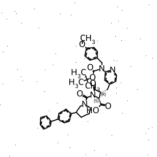 COc1ccc(CN(C(=O)OC(C)(C)C)c2cc(C[C@H]3C(=O)N(C(=O)N4CCCC(c5ccc(-c6ccccc6)cc5)C4)[C@@H]3C(=O)O)ccn2)cc1